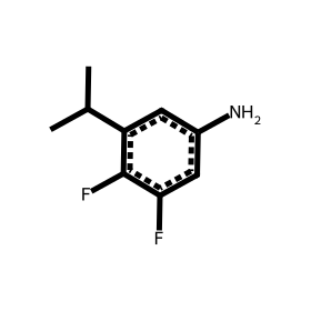 CC(C)c1cc(N)cc(F)c1F